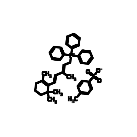 CC1=C(/C=C/C(C)=C/C[P+](c2ccccc2)(c2ccccc2)c2ccccc2)C(C)(C)CCC1.Cc1ccc(S(=O)(=O)[O-])cc1